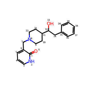 O=c1[nH]cccc1CN1CCC(C(O)Cc2ccccc2)CC1